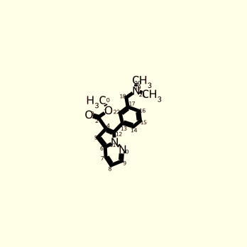 COC(=O)c1cc2cccnn2c1-c1cccc(CN(C)C)c1